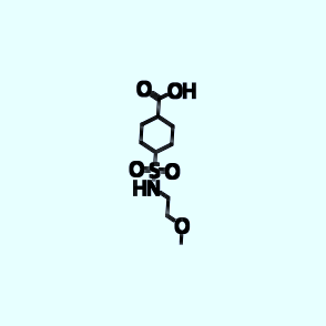 COCCNS(=O)(=O)C1CCC(C(=O)O)CC1